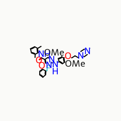 COc1cc(Nc2ncc(C(=O)Nc3c(C)cccc3C)c(Oc3ccccc3F)n2)cc(OC)c1OCCCN1CCN(C)CC1